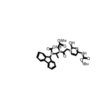 COC(=O)CN(C(=O)CN1C=CC(NC(=O)OC(C)(C)C)=NC1O)C(C)N(C(=O)OC)C1c2ccccc2-c2ccccc21